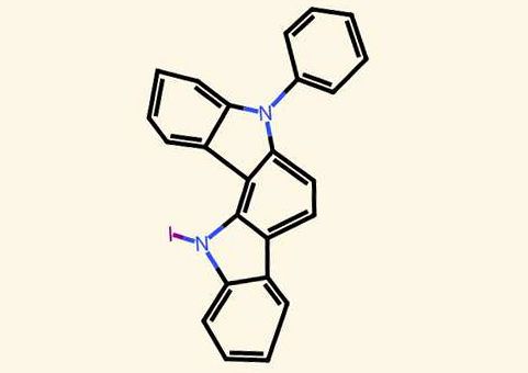 In1c2ccccc2c2ccc3c(c4ccccc4n3-c3ccccc3)c21